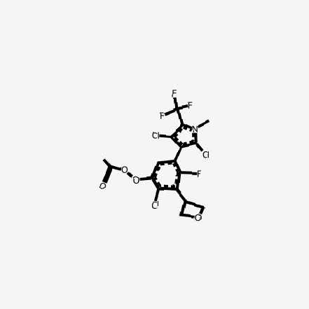 CC(=O)OOc1cc(-c2c(Cl)c(C(F)(F)F)n(C)c2Cl)c(F)c(C2COC2)c1Cl